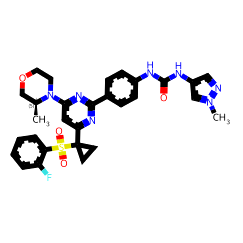 C[C@H]1COCCN1c1cc(C2(S(=O)(=O)c3ccccc3F)CC2)nc(-c2ccc(NC(=O)Nc3cnn(C)c3)cc2)n1